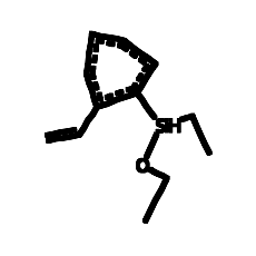 C=Cc1ccccc1[SiH](CC)OCC